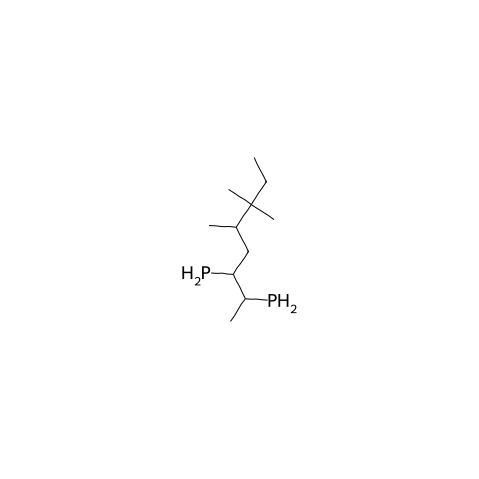 CCC(C)(C)C(C)CC(P)C(C)P